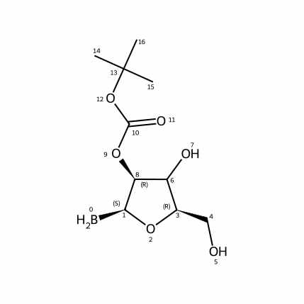 B[C@@H]1O[C@H](CO)C(O)[C@@H]1OC(=O)OC(C)(C)C